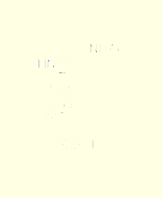 CC(=O)NCCc1c[nH]c2ccc(OC(=O)CCC(=O)O)cc12